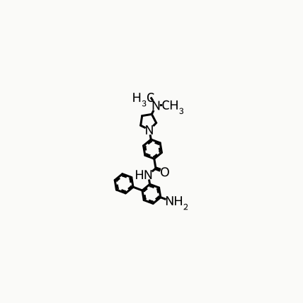 CN(C)C1CCN(c2ccc(C(=O)Nc3cc(N)ccc3-c3ccccc3)cc2)C1